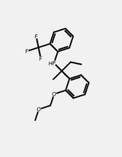 CCC(C)(Pc1ccccc1C(F)(F)F)c1ccccc1OCOC